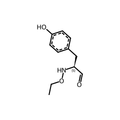 CCON[C@H](C=O)Cc1ccc(O)cc1